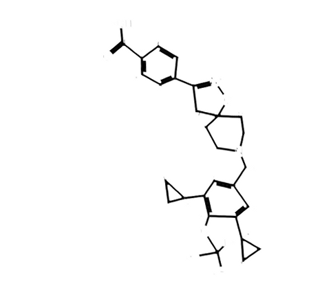 O=C(O)c1ccc(C2=NOC3(CCN(Cc4cc(C5CC5)c(OC(F)(F)F)c(C5CC5)c4)CC3)C2)cc1